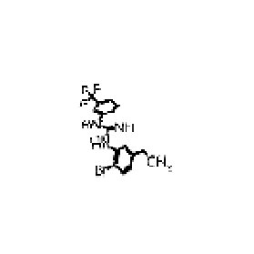 CCc1ccc(Br)c(NC(=N)Nc2cccc(C(F)(F)F)c2)c1